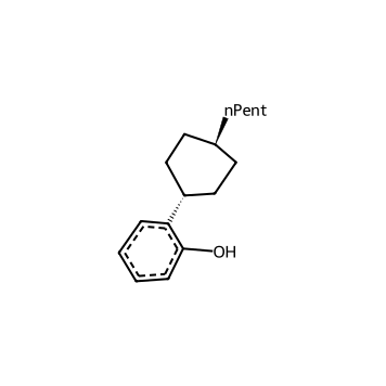 CCCCC[C@H]1CC[C@H](c2ccccc2O)CC1